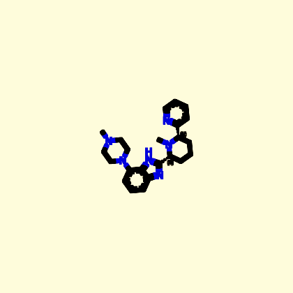 CN1CCN(c2cccc3nc([C@H]4CCC[C@@H](c5ccccn5)N4C)[nH]c23)CC1